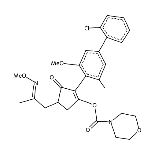 CON=C(C)CC1CC(OC(=O)N2CCOCC2)=C(c2c(C)cc(-c3ccccc3Cl)cc2OC)C1=O